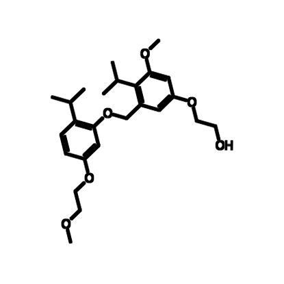 COCCOc1ccc(C(C)C)c(OCc2cc(OCCO)cc(OC)c2C(C)C)c1